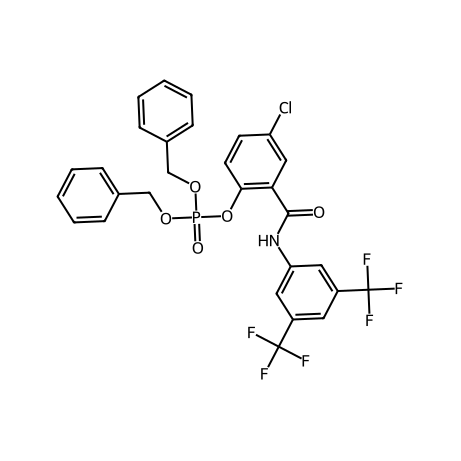 O=C(Nc1cc(C(F)(F)F)cc(C(F)(F)F)c1)c1cc(Cl)ccc1OP(=O)(OCc1ccccc1)OCc1ccccc1